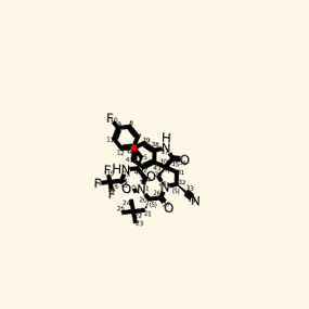 CN(C(=O)[C@H](Cc1ccc(F)cc1)NC(=O)C(F)(F)F)[C@@H](CC(C)(C)C)C(=O)N1C[C@]2(C[C@H]1C#N)C(=O)Nc1ccccc12